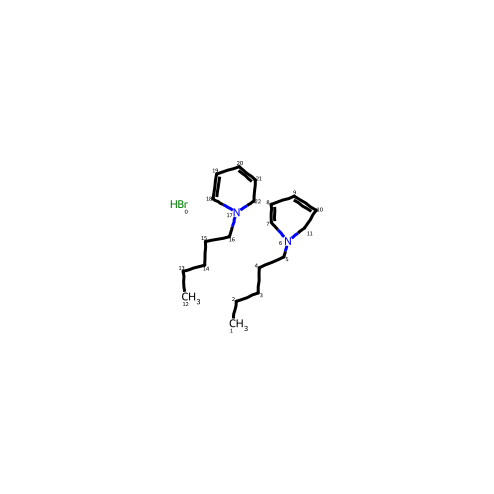 Br.CCCCCN1C=CC=CC1.CCCCCN1C=CC=CC1